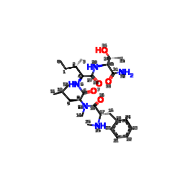 CC[C@H](C)[C@H](NC(=O)[C@H](CC(C)C)N(C)C(=O)[C@H](Cc1ccccc1)NC)C(=O)N[C@H](C(N)=O)[C@@H](C)O